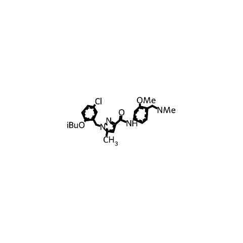 CNCc1ccc(NC(=O)c2cc(C)n(Cc3cc(Cl)ccc3OCC(C)C)n2)cc1OC